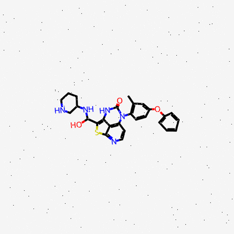 Cc1cc(Oc2ccccc2)ccc1N1C(=O)Nc2c(C(O)NC3CCCNC3)sc3nccc1c23